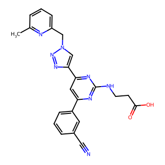 Cc1cccc(Cn2cc(-c3cc(-c4cccc(C#N)c4)nc(NCCC(=O)O)n3)nn2)n1